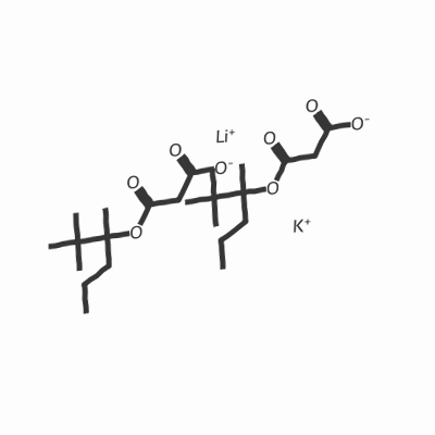 CCCC(C)(OC(=O)CC(=O)[O-])C(C)(C)C.CCCC(C)(OC(=O)CC(=O)[O-])C(C)(C)C.[K+].[Li+]